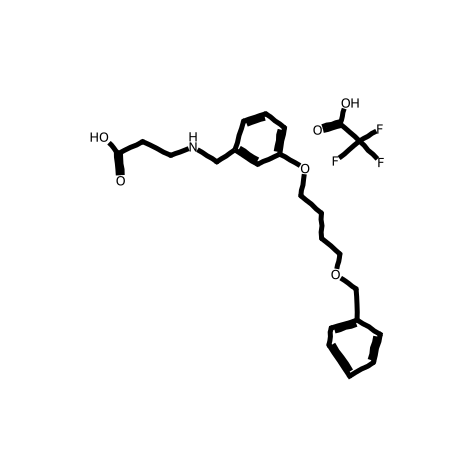 O=C(O)C(F)(F)F.O=C(O)CCNCc1cccc(OCCCCOCc2ccccc2)c1